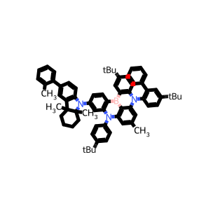 Cc1cc2c3c(c1)N(c1ccc(C(C)(C)C)cc1-c1ccccc1)c1ccc(C(C)(C)C)cc1B3c1ccc(N3c4ccc(-c5ccccc5C)cc4C4(C)CCCCC34C)cc1N2c1ccc(C(C)(C)C)cc1